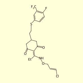 CCC(NOCC=CCl)=C1C(=O)CC(CCSc2ccc(F)c(C(F)(F)F)c2)CC1=O